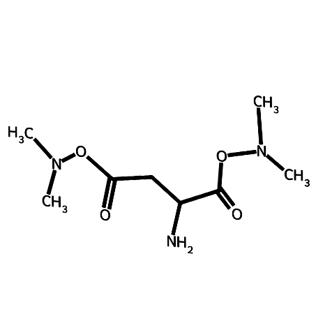 CN(C)OC(=O)CC(N)C(=O)ON(C)C